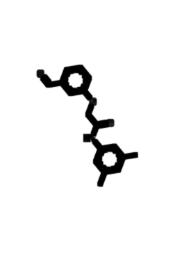 Cc1cc(C)cc(NC(=O)COc2cccc(C=O)c2)c1